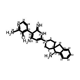 N=c1[nH]c(N2CCC3(CC2)Cc2ccccc2[C@H]3N)cc(N)c1-c1ccnc(N)c1Cl